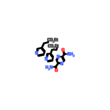 CCOC(=O)CCc1cccnc1.CCOC(=O)CCc1cccnc1.NC(=O)c1cnc(C(N)=O)cn1